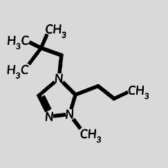 CCCC1N(CC(C)(C)C)C=NN1C